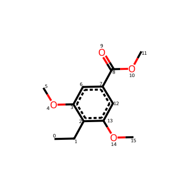 CCc1c(OC)cc(C(=O)OC)cc1OC